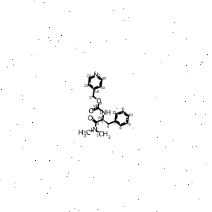 CN(C)C(=O)[C@H](Cc1ccccc1)NC(=O)OCc1ccncc1